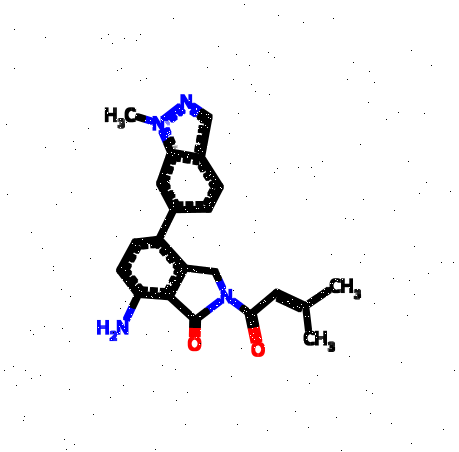 CC(C)=CC(=O)N1Cc2c(-c3ccc4cnn(C)c4c3)ccc(N)c2C1=O